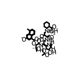 COc1cc(C(=O)O[C@H](C(=O)N/C(C(=O)N/C(=C\O)C(C)=O)=C2\[C@@H](OC(C)=O)[C@H](O)[C@@H]3CN23)[C@]2(C)CO2)c2cccc(C)c2c1.NC1CCCCC1C(=O)O